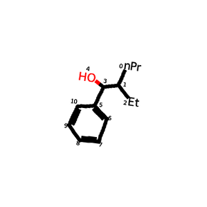 CCCC(CC)C(O)c1ccccc1